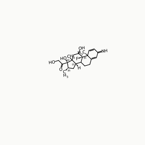 C[C@@H]1C[C@H]2C3CCC4=CC(=N)C=CC4(C)[C@@]3(F)C(O)CC2(C)[C@@]1(O)C(=O)CO